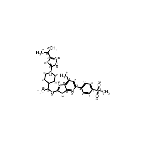 Cc1cc(-c2ccc(S(C)(=O)=O)cc2)nc2sc(OC(C)C3CCN(c4nc(C(C)C)no4)CC3)nc12